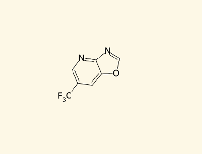 FC(F)(F)c1cnc2ncoc2c1